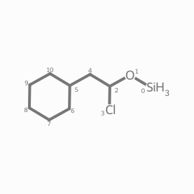 [SiH3]OC(Cl)CC1CCCCC1